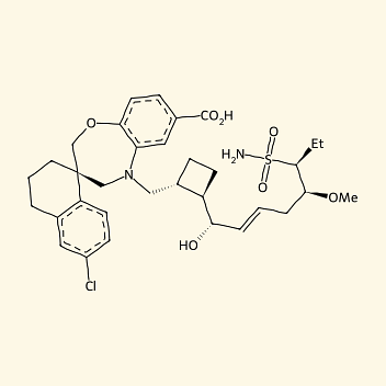 CC[C@@H]([C@H](C/C=C/[C@H](O)[C@@H]1CC[C@H]1CN1C[C@@]2(CCCc3cc(Cl)ccc32)COc2ccc(C(=O)O)cc21)OC)S(N)(=O)=O